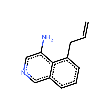 C=CCc1cccc2cncc(N)c12